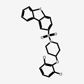 O=S(=O)(c1ccc2sc3ccccc3c2c1)N1CCC(Oc2c(Cl)cccc2Cl)CC1